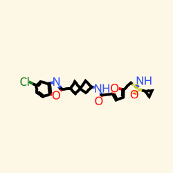 N=S(=O)(Cc1ccc(C(=O)NC2CC3(C2)CC(c2nc4cc(Cl)ccc4o2)C3)o1)C1CC1